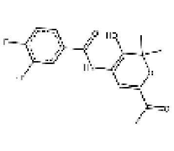 CC(=O)C1=CC(NC(=O)c2ccc(F)c(Cl)c2)=C(O)C(C)(C)O1